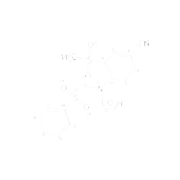 CS(=O)(=O)c1cc(C#N)ccc1N(CS(=O)(=O)c1ccccc1)C(=O)O